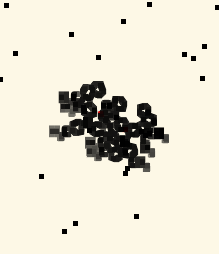 Cc1ccc(N(c2ccc3c(c2)C(C)(C)c2ccc4ccccc4c2-3)c2ccc3c(c2)C2(c4ccccc4N4c5ccccc5Oc5cccc2c54)c2cc(N(c4ccc(C)cc4)c4ccc5c(c4)C(C)(C)c4ccc6ccccc6c4-5)c4c(c2-3)C(C)(C)c2ccccc2-4)cc1